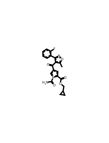 Cc1onc(-c2ccccc2F)c1C(=O)c1cc(C(=O)OCC2CC2)n(C(N)=O)c1